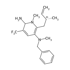 C=C[C@H](C)CC1=C(N(C)Cc2ccccc2)C=C(C(F)(F)F)C(N)N1C